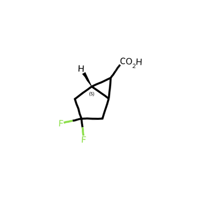 O=C(O)C1C2CC(F)(F)C[C@@H]21